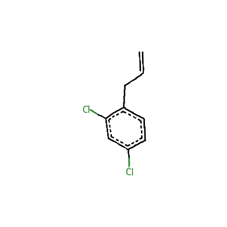 C=CCc1ccc(Cl)cc1Cl